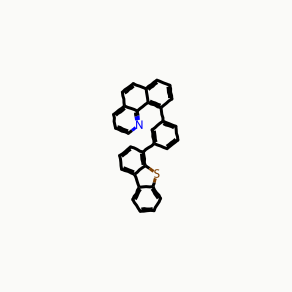 c1cc(-c2cccc3c2sc2ccccc23)cc(-c2cccc3ccc4cccnc4c23)c1